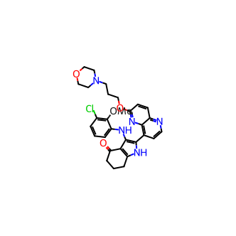 COc1c(Cl)cccc1Nc1c(-c2ccnc3ccc(OCCCN4CCOCC4)nc23)[nH]c2c1C(=O)CCC2